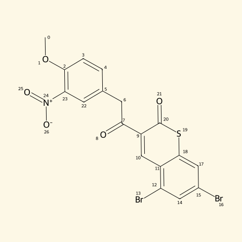 COc1ccc(CC(=O)c2cc3c(Br)cc(Br)cc3sc2=O)cc1[N+](=O)[O-]